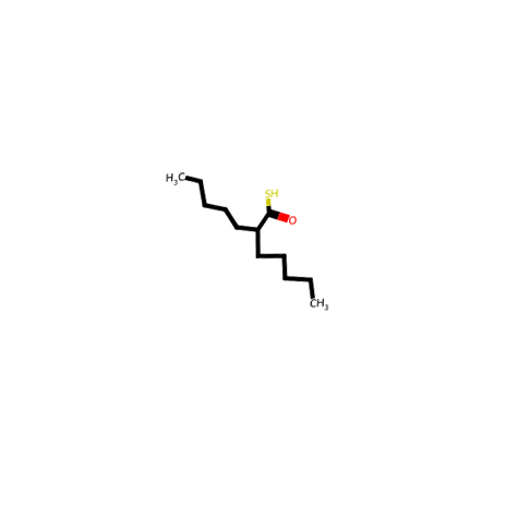 CCCCCC(CCCCC)C(=O)S